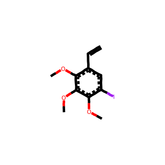 C=Cc1cc(I)c(OC)c(OC)c1OC